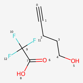 C#CCCCO.O=C(O)C(F)(F)F